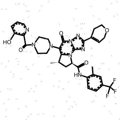 Cc1cc(C(F)(F)F)ccc1NC(=O)[C@H]1C[C@H](C)c2c(N3CCN(C(=O)c4ncccc4O)CC3)c(=O)n3nc(C4=CCOCC4)nc3n21